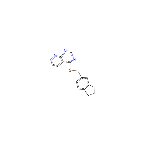 c1cnc2ncnc(SCc3ccc4c(c3)CCC4)c2c1